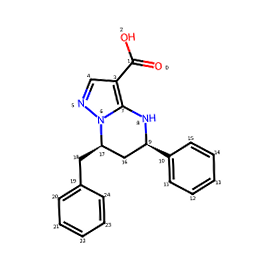 O=C(O)c1cnn2c1N[C@@H](c1ccccc1)C[C@H]2Cc1ccccc1